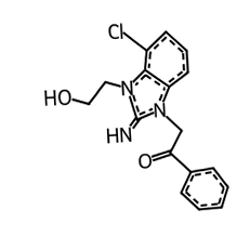 N=c1n(CC(=O)c2ccccc2)c2cccc(Cl)c2n1CCO